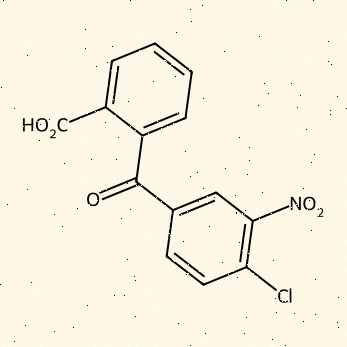 O=C(O)c1ccccc1C(=O)c1ccc(Cl)c([N+](=O)[O-])c1